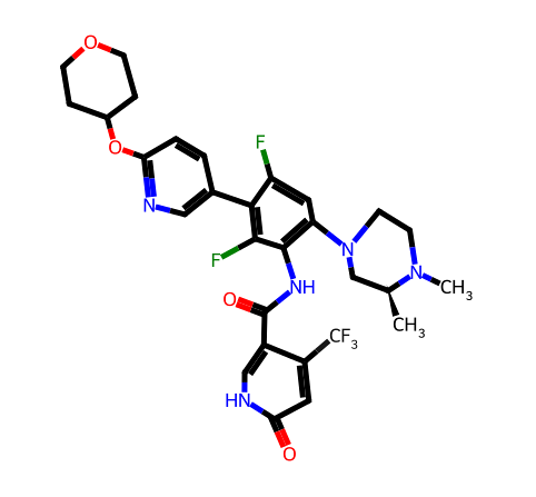 C[C@H]1CN(c2cc(F)c(-c3ccc(OC4CCOCC4)nc3)c(F)c2NC(=O)c2c[nH]c(=O)cc2C(F)(F)F)CCN1C